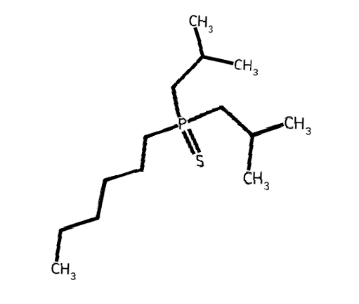 CCCCCCP(=S)(CC(C)C)CC(C)C